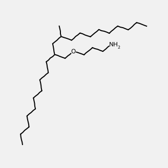 CCCCCCCCCCC(COCCCN)CC(C)CCCCCCCCC